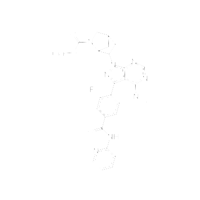 CC(C)(C)OC(=O)N1CC2CC1C(n1nc(-c3ccc(C(=O)Nc4ccccn4)cc3F)c3c(N)ncnc31)C2